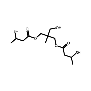 CC(S)CC(=O)OCC(C)(CO)COC(=O)CC(C)S